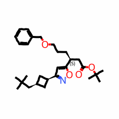 CC(C)(C)C[C@H]1C[C@@H](c2cc([C@@H](CCCOCc3ccccc3)CC(=O)OC(C)(C)C)on2)C1